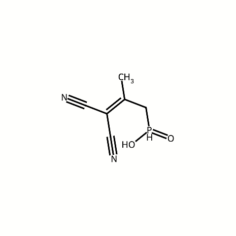 CC(C[PH](=O)O)=C(C#N)C#N